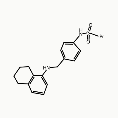 CC(C)S(=O)(=O)Nc1ccc(CNc2cccc3c2CCCC3)cc1